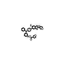 Fc1cc2[nH]c(C3CCOC3)nc2cc1N1CCN(C(c2ccccc2)c2ccccc2)CC1.O=C(O)C1CCOC1